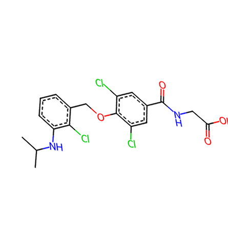 CC(C)Nc1cccc(COc2c(Cl)cc(C(=O)NCC(=O)O)cc2Cl)c1Cl